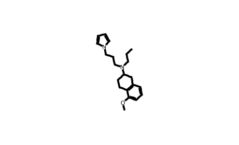 CCCN(CCCn1cccc1)C1CCc2c(cccc2OC)C1